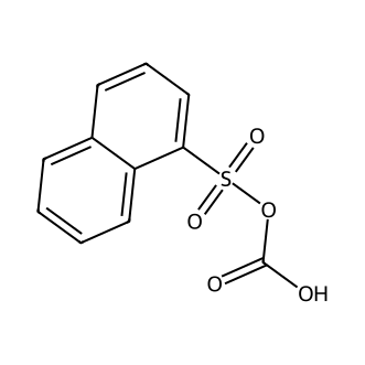 O=C(O)OS(=O)(=O)c1cccc2ccccc12